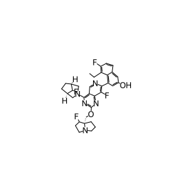 CCc1c(F)ccc2cc(O)cc(-c3ncc4c(N5C[C@H]6CC[C@@H](C5)C6F)nc(OC[C@]56CCCN5CCC6F)nc4c3F)c12